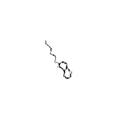 CCCCCSc1[c]c2cccnc2cc1